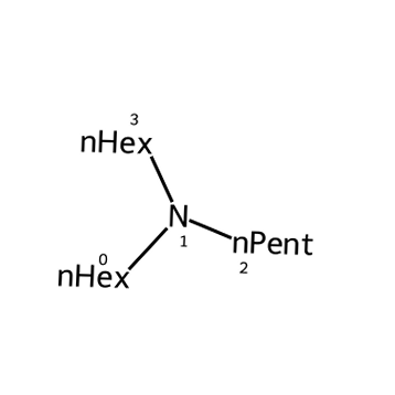 CCCCCCN(CCCCC)CCCCCC